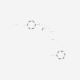 COc1ccc(NC(=O)N[C@H]2CC[C@H](OCc3c(F)cccc3F)CC2)cc1